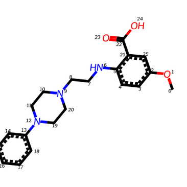 COc1ccc(NCCN2CCN(c3ccccc3)CC2)c(C(=O)O)c1